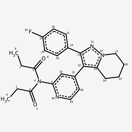 CCC(=O)N(C(=O)CC)c1cc(-c2c(-c3ccc(F)cc3)nn3c2CCCC3)ccn1